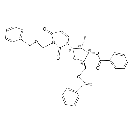 O=C(OC[C@H]1O[C@H](n2ccc(=O)n(COCc3ccccc3)c2=O)[C@H](F)[C@@H]1OC(=O)c1ccccc1)c1ccccc1